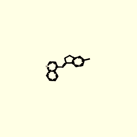 Cc1ccc2c(c1)CCC2=Cc1ccnc2ccccc12